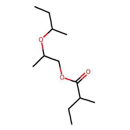 CCC(C)OC(C)COC(=O)C(C)CC